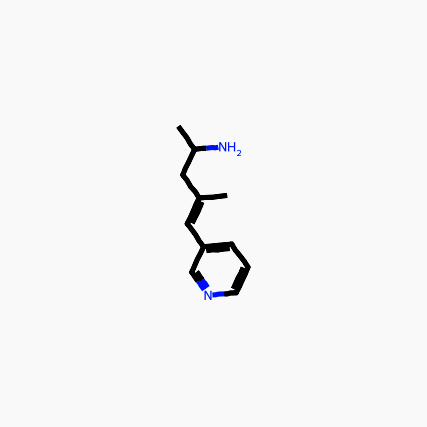 C/C(=C\c1cccnc1)CC(C)N